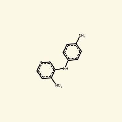 Cc1ccc(Nc2cnccc2[N+](=O)[O-])cc1